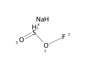 O=[SH]OF.[NaH]